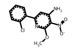 COc1nc(-c2ccccc2Cl)cc(N)c1[N+](=O)[O-]